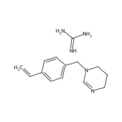 C=Cc1ccc(CN2C=NCCC2)cc1.N=C(N)N